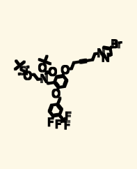 CC(C)(C)OC(=O)N(CCO[Si](C)(C)C(C)(C)C)Cc1cc(OCCC#CCCn2cc(Br)cn2)ccc1OCc1ccc(F)c(C(F)(F)F)c1